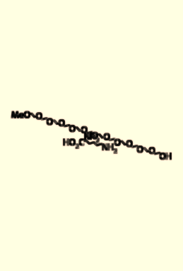 COCCOCCOCCOCCOCCOCCOCCOCCOCCOCCOCCOCCO.NCCCCC(N)C(=O)O